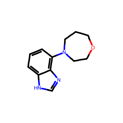 c1cc(N2CCCOCC2)c2nc[nH]c2c1